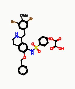 COc1c(Br)cc(CC2NCCc3cc(OCc4ccccc4)c(NS(=O)(=O)c4ccccc4)cc32)cc1Br.O=C(O)C(=O)O